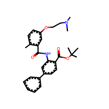 Cc1ccc(OCCN(C)C)cc1C(=O)Nc1cc(-c2ccccc2)ccc1C(=O)OC(C)(C)C